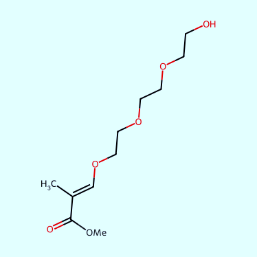 COC(=O)C(C)=COCCOCCOCCO